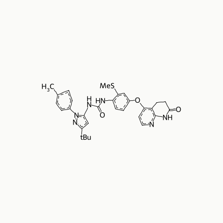 CSc1cc(Oc2ccnc3c2CCC(=O)N3)ccc1NC(=O)Nc1cc(C(C)(C)C)nn1-c1ccc(C)cc1